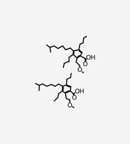 CCCCc1cc(C(=O)O)c(CCOC)c(CCCC)c1CCCCCC(C)C.CCCc1cc(C(=O)O)c(CCOC)c(CCC)c1CCCCCC(C)C